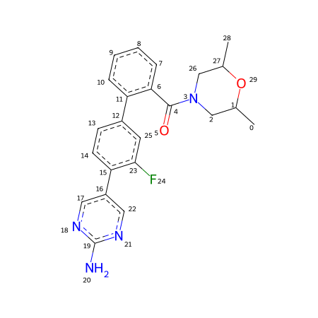 CC1CN(C(=O)c2ccccc2-c2ccc(-c3cnc(N)nc3)c(F)c2)CC(C)O1